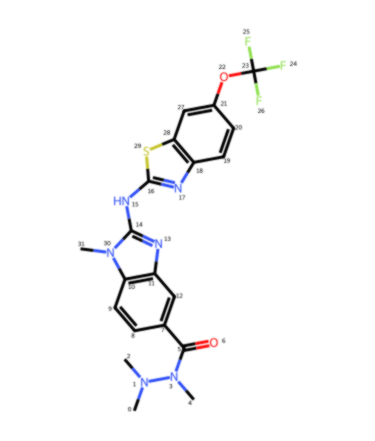 CN(C)N(C)C(=O)c1ccc2c(c1)nc(Nc1nc3ccc(OC(F)(F)F)cc3s1)n2C